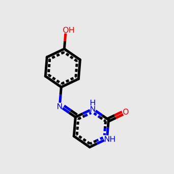 O=c1[nH]ccc(=Nc2ccc(O)cc2)[nH]1